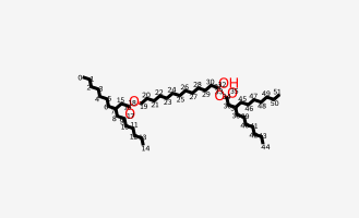 CCCCCCCC(CCCCCCC)CC(=O)OCCCCCCCCCCCCC(O)OC(=O)CC(CCCCCCC)CCCCCCC